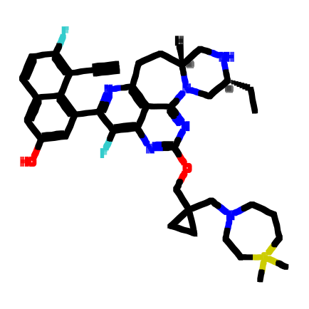 C#Cc1c(F)ccc2cc(O)cc(-c3nc4c5c(nc(OCC6(CN7CCCS(C)(C)CC7)CC6)nc5c3F)N3C[C@@H](CC)NC[C@H]3CC4)c12